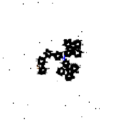 c1ccc(C2(c3ccc(N(c4ccc(-c5cccc(-c6ccc7sc8ccccc8c7c6)c5)cc4)c4ccc(C5(c6ccccc6)c6ccccc6-c6ccccc65)cc4)cc3)c3ccccc3-c3ccccc32)cc1